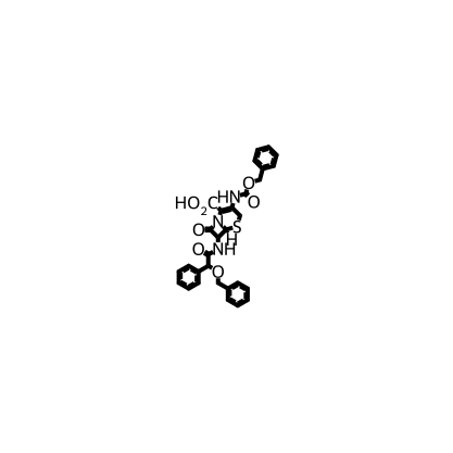 O=C(NC1=C(C(=O)O)N2C(=O)C(NC(=O)C(OCc3ccccc3)c3ccccc3)[C@H]2SC1)OCc1ccccc1